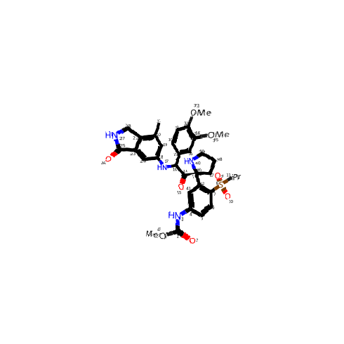 COC(=O)Nc1ccc(S(=O)(=O)C(C)C)c([C@@]2(C(=O)C(Nc3cc(C)c4c(c3)C(=O)NC4)c3ccc(OC)c(OC)c3)CCCN2)c1